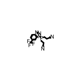 N#CCCP(CCC#N)n1nnc2ccc(C(F)(F)F)cc21